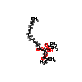 C=C(C)C(=O)OCC(CO)(COC(=O)CCCCCCC/C=C\CCCCCCCC)COC(=O)C(=C)C